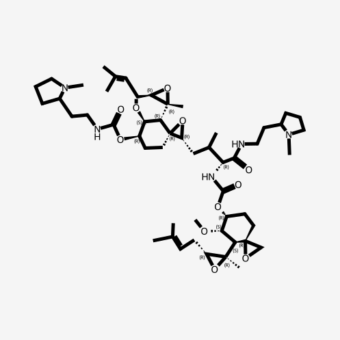 CO[C@@H]1[C@H](OC(=O)N[C@@H](C(=O)NCCC2CCCN2C)C(C)C[C@H]2O[C@@]23CC[C@@H](OC(=O)NCCC2CCCN2C)[C@@H](OC)[C@@H]3[C@@]2(C)O[C@@H]2CC=C(C)C)CC[C@]2(CO2)[C@H]1[C@@]1(C)O[C@@H]1CC=C(C)C